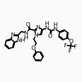 O=C(Nc1ccc(OC(F)(F)F)cc1)Nc1cn(CCOc2ccccc2)c(C(=O)NCc2nc3ccccc3[nH]2)n1